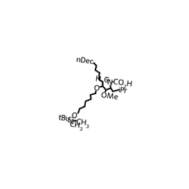 CCCCCCCCCCCCCCCC(OCCCCCCCO[Si](C)(C)C(C)(C)C)C(OC)C(CC(C)C)N(C)C(=O)O